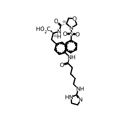 O=C(CCCCNC1=NCCN1)Nc1ccc(C[C@H](NC(=O)[C@@H]2COCN2S(=O)(=O)c2ccccc2)C(=O)O)cc1